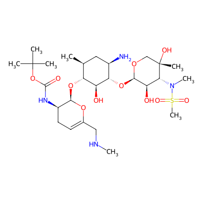 CNCC1=CC[C@@H](NC(=O)OC(C)(C)C)[C@@H](O[C@H]2[C@H](O)[C@@H](O[C@H]3OC[C@](C)(O)[C@H](N(C)S(C)(=O)=O)[C@H]3O)[C@H](N)C[C@@H]2C)O1